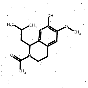 COc1cc2c(cc1O)C(CC(C)C)N(C(C)=O)CC2